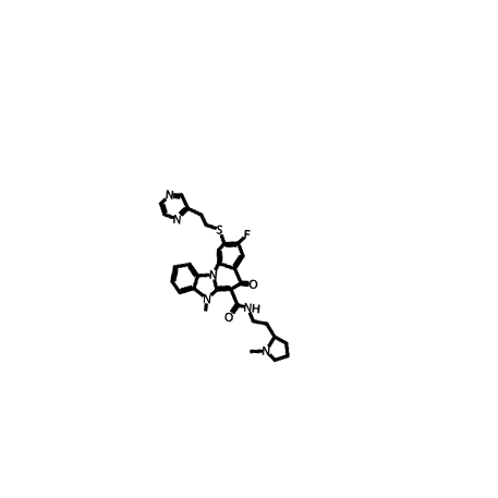 CN1CCCC1CCNC(=O)c1c(=O)c2cc(F)c(SCCc3cnccn3)cc2n2c3ccccc3n(C)c12